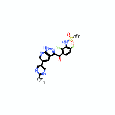 CCCS(=O)(=O)Nc1c(F)ccc(C(=O)c2n[nH]c3ncc(-c4cnc(C(F)(F)F)nc4)cc23)c1F